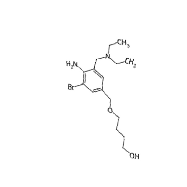 CCN(CC)Cc1cc(COCCCCO)cc(Br)c1N